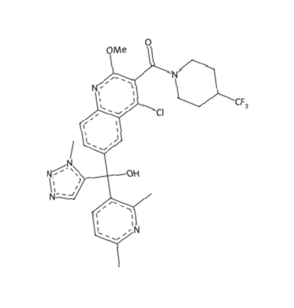 COc1nc2ccc(C(O)(c3ccc(C)nc3C)c3cnnn3C)cc2c(Cl)c1C(=O)N1CCC(C(F)(F)F)CC1